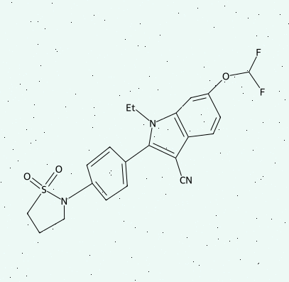 CCn1c(-c2ccc(N3CCCS3(=O)=O)cc2)c(C#N)c2ccc(OC(F)F)cc21